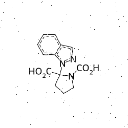 O=C(O)N1CCCC1(C(=O)O)n1ncc2ccccc21